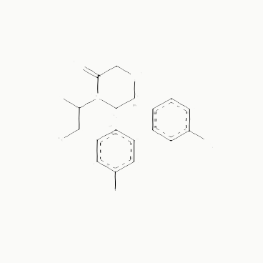 CCCC(CN)N1C(=O)CO[C@H](c2ccc(Cl)cc2)[C@@H]1c1ccc(Cl)cc1